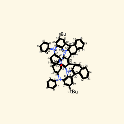 CC(C)(C)c1cc(N(c2ccccc2)c2ccccc2)c2c(c1)c1c3ccccc3cc3c4c5c6cc7ccccc7c7c8cc(C(C)(C)C)cc(N(c9ccccc9)c9ccccc9)c8n(c5ncc4n2c31)c67